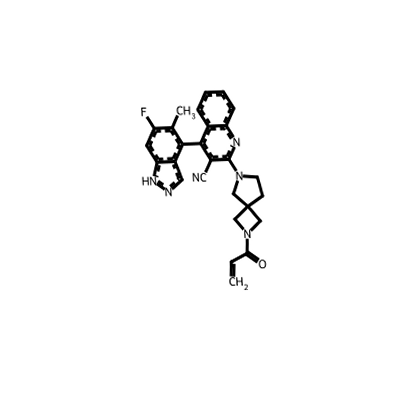 C=CC(=O)N1CC2(CCN(c3nc4ccccc4c(-c4c(C)c(F)cc5[nH]ncc45)c3C#N)C2)C1